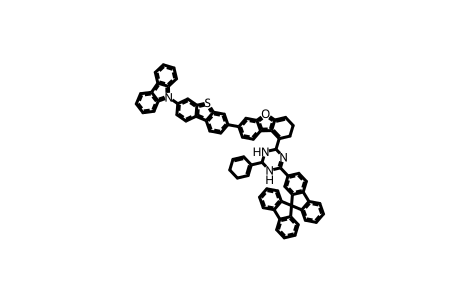 C1=CC(C2NC(c3ccc4c(c3)C3(c5ccccc5-c5ccccc53)c3ccccc3-4)=NC(C3=c4c(oc5cc(-c6ccc7c(c6)sc6cc(-n8c9ccccc9c9ccccc98)ccc67)ccc45)=CCC3)N2)=CCC1